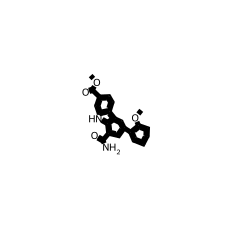 COC(=O)c1ccc2c(c1)[nH]c1c(C(N)=O)cc(-c3ccccc3OC)cc12